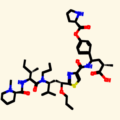 CCCO[C@H](C[C@H](C(C)C)N(CCC)C(=O)[C@@H](NC(=O)[C@H]1CCCCN1C)[C@@H](C)CC)c1nc(C(=O)NC(C[C@H](C)C(=O)O)c2ccc(OC(=O)[C@H]3CCCN3)cc2)cs1